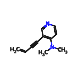 C=CC#Cc1cnccc1N(C)C